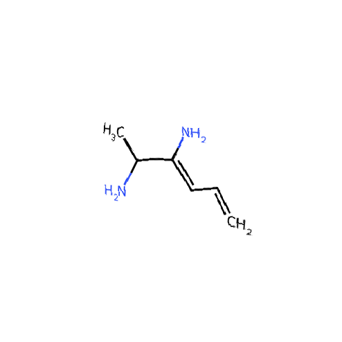 C=C/C=C(\N)C(C)N